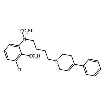 CCOC(=O)N(CCCCN1CC=C(c2ccccc2)CC1)c1cccc(Cl)c1C(=O)O